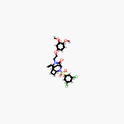 C=CC1CC2C(=O)N(CCOc3ccc(OC)c(OC)c3)CC3C1CC3N2S(=O)(=O)c1cc(Cl)cc(Cl)c1